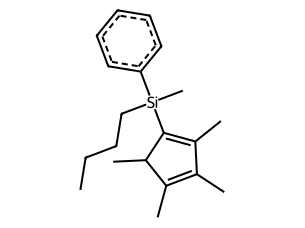 CCCC[Si](C)(C1=C(C)C(C)=C(C)C1C)c1ccccc1